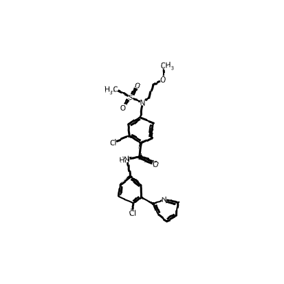 COCCN(c1ccc(C(=O)Nc2ccc(Cl)c(-c3ccccn3)c2)c(Cl)c1)S(C)(=O)=O